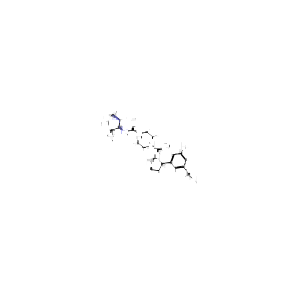 Bc1cc(C#N)cc(C2CC=NN2C(=O)N2CCN(C(=C)/N=C(\C=C/C)C(N)=O)CC2)c1